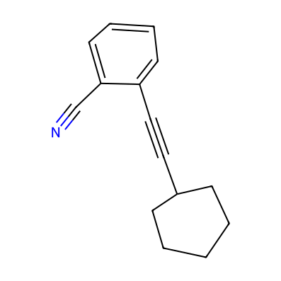 N#Cc1ccccc1C#CC1CCCCC1